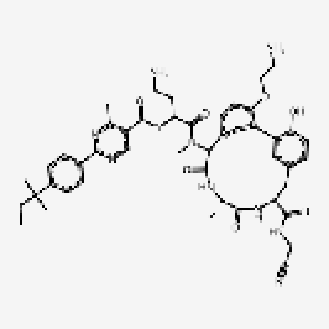 CCC(C)(C)c1ccc(-c2ncc(C(=O)N[C@@H](CCN)C(=O)N(C)[C@@H]3C(=O)N[C@@H](C)C(=O)N[C@H](C(=O)NCC#N)Cc4ccc(O)c(c4)-c4cc3ccc4OCCN)c(C)n2)cc1